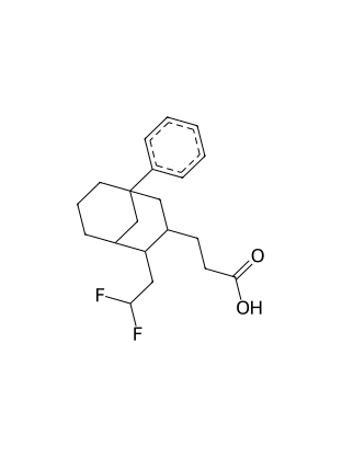 O=C(O)CCC1CC2(c3ccccc3)CCCC(C2)C1CC(F)F